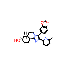 Cc1cccc(-c2nc3n(c2-c2ccc4c(c2)OCO4)CC[C@H]2C[C@@H](O)CCC32)n1